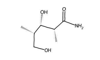 C[C@@H](CO)[C@H](O)[C@@H](C)C(N)=O